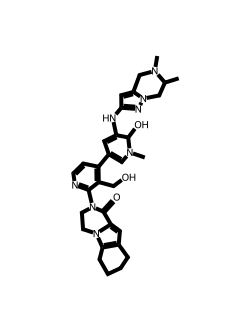 CC1Cn2nc(NC3=CC(c4ccnc(N5CCn6c(cc7c6CCCC7)C5=O)c4CO)=CN(C)C3O)cc2CN1C